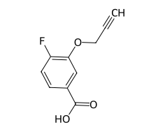 C#CCOc1cc(C(=O)O)ccc1F